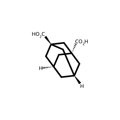 O=C(O)[C@]12C[C@H]3C[C@H](C[C@](C(=O)O)(C3)C1)C2